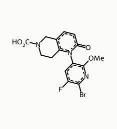 COc1nc(Br)c(F)cc1-n1c2c(ccc1=O)CN(C(=O)O)CC2